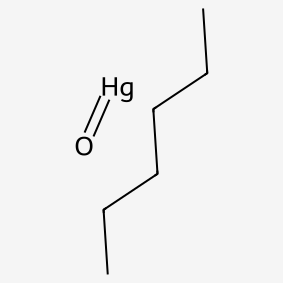 CCCCCC.[O]=[Hg]